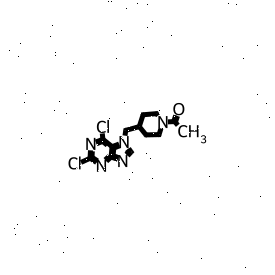 CC(=O)N1CCC(Cn2cnc3nc(Cl)nc(Cl)c32)CC1